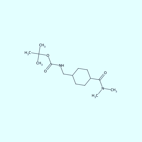 CN(C)C(=O)C1CCC(CNC(=O)OC(C)(C)C)CC1